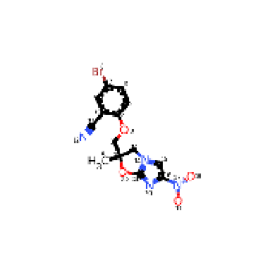 CC1(COc2ccc(Br)cc2C#N)Cn2cc([N+](=O)[O-])nc2O1